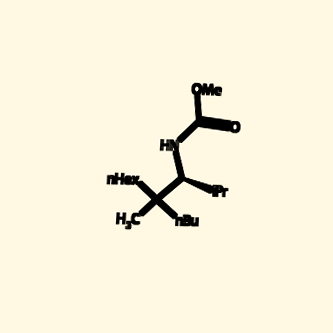 CCCCCCC(C)(CCCC)[C@@H](NC(=O)OC)C(C)C